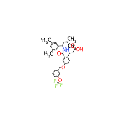 Cc1cc(C)cc(C(CC(C)C)NC(=O)c2cc(OCc3cccc(OC(F)(F)F)c3)ccc2CCC(=O)O)c1